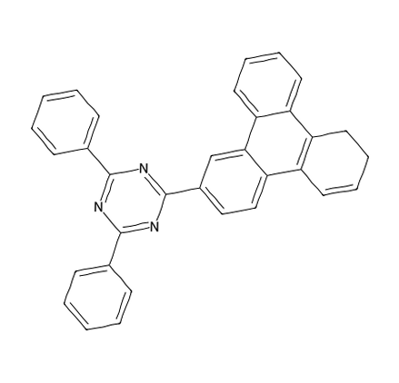 C1=Cc2c(c3ccccc3c3cc(-c4nc(-c5ccccc5)nc(-c5ccccc5)n4)ccc23)CC1